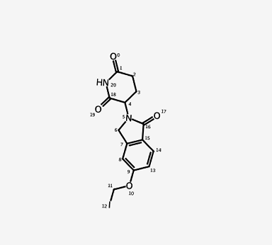 O=C1CCC(N2Cc3cc(OCI)ccc3C2=O)C(=O)N1